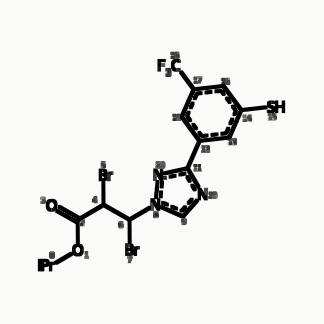 CC(C)OC(=O)C(Br)C(Br)n1cnc(-c2cc(S)cc(C(F)(F)F)c2)n1